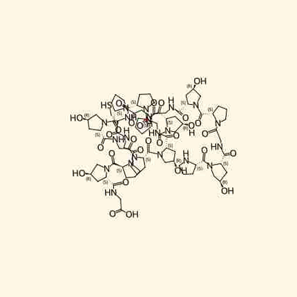 O=C(O)CNC(=O)[C@@H]1C[C@@H](O)CN1C(=O)[C@@H]1CCCN1C(=O)CNC(=O)[C@H](CS)NC(=O)[C@@H]1CCCN1C(=O)CNC(=O)[C@@H]1C[C@@H](O)CN1C(=O)[C@@H]1CCCN1C(=O)CNC(=O)[C@@H]1C[C@@H](O)CN1C(=O)[C@@H]1CCCN1C(=O)CNC(=O)[C@@H]1C[C@@H](O)CN1C(=O)[C@@H]1CCCN1C(=O)CNC(=O)[C@@H]1C[C@@H](O)CN1C(=O)[C@@H]1CCCN1C(=O)CNC(=O)[C@@H]1C[C@@H](O)CN1C(=O)[C@@H]1CCCN1